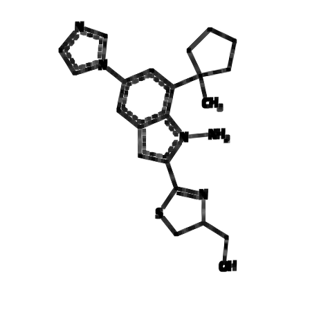 CC1(c2cc(-n3ccnc3)cc3cc(C4=NC(CO)CS4)n(N)c23)CCCC1